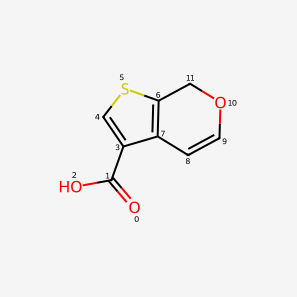 O=C(O)c1csc2c1C=COC2